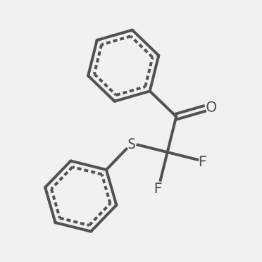 O=C(c1ccccc1)C(F)(F)Sc1ccccc1